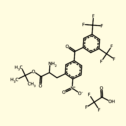 CC(C)(C)OC(=O)C(N)Cc1cc(C(=O)c2cc(C(F)(F)F)cc(C(F)(F)F)c2)ccc1[N+](=O)[O-].O=C(O)C(F)(F)F